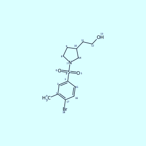 Cc1cc(S(=O)(=O)N2CCC(CCO)C2)ccc1Br